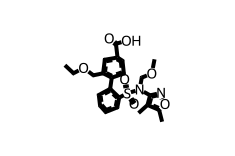 CCOCc1cc(C(=O)O)ccc1-c1ccccc1S(=O)(=O)N(COC)c1noc(C)c1C